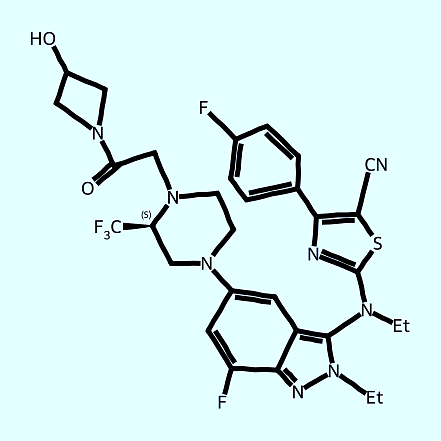 CCN(c1nc(-c2ccc(F)cc2)c(C#N)s1)c1c2cc(N3CCN(CC(=O)N4CC(O)C4)[C@H](C(F)(F)F)C3)cc(F)c2nn1CC